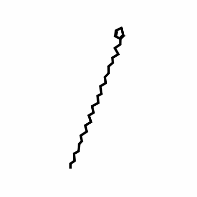 CCCCCCCCCCCCCCCCCCCCCCCCCCCC1=[C]CC=C1